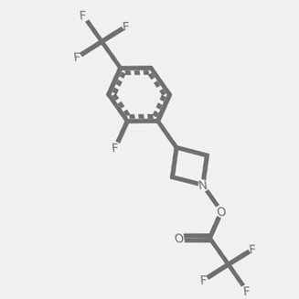 O=C(ON1CC(c2ccc(C(F)(F)F)cc2F)C1)C(F)(F)F